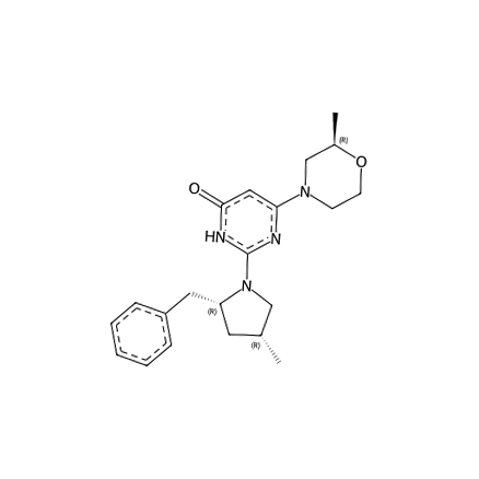 C[C@@H]1C[C@H](Cc2ccccc2)N(c2nc(N3CCO[C@H](C)C3)cc(=O)[nH]2)C1